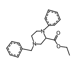 CCOC(=O)C1CN(Cc2ccccc2)CCN1c1ccccc1